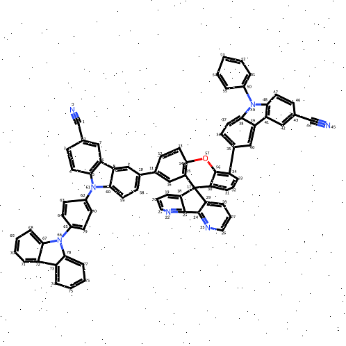 N#Cc1ccc2c(c1)c1cc(-c3ccc4c(c3)C3(c5cccnc5-c5ncccc53)c3cccc(-c5ccc6c(c5)c5cc(C#N)ccc5n6-c5ccccc5)c3O4)ccc1n2-c1ccc(-n2c3ccccc3c3ccccc32)cc1